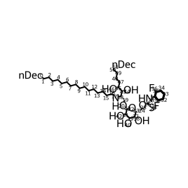 CCCCCCCCCCCCCCCCCCCCCCCCCCN[C@@H](CO[C@@H]1O[C@H](COC(=S)Nc2c(F)cccc2F)[C@H](O)[C@H](O)[C@H]1O)[C@H](O)[C@H](O)CCCCCCCCCCCCCC